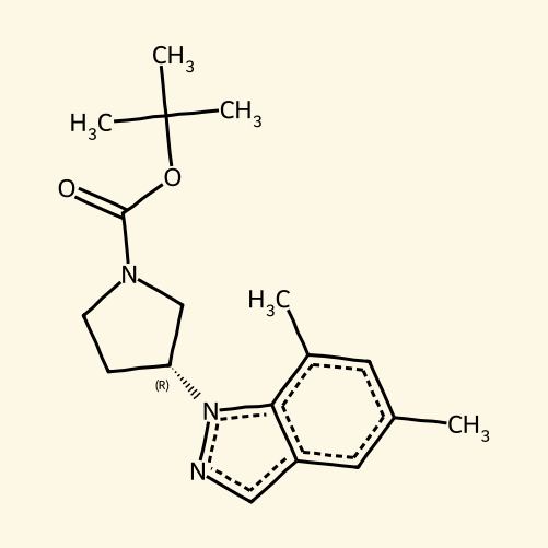 Cc1cc(C)c2c(cnn2[C@@H]2CCN(C(=O)OC(C)(C)C)C2)c1